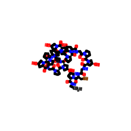 O=C(O)CNC(=O)[C@@H]1C[C@@H](O)CN1C(=O)[C@H](CS)NC(=O)CNC(=O)[C@@H]1C[C@@H](O)CN1C(=O)[C@@H]1CCCN1C(=O)CNC(=O)[C@@H]1C[C@@H](O)CN1C(=O)[C@@H]1CCCN1C(=O)CNC(=O)[C@@H]1C[C@@H](O)CN1C(=O)[C@@H]1CCCN1C(=O)CNC(=O)[C@@H]1C[C@@H](O)CN1C(=O)[C@@H]1CCCN1C(=O)CNC(=O)[C@@H]1C[C@@H](O)CN1C(=O)[C@@H]1CCCN1C(=O)CNC(=O)[C@@H]1C[C@@H](O)CN1C(=O)[C@@H]1CCCN1